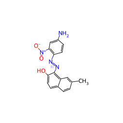 Cc1ccc2ccc(O)c(/N=N/c3ccc(N)cc3[N+](=O)[O-])c2c1